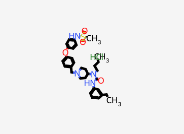 CCCCN(C(=O)Nc1cccc(CC)c1)C1CCN(Cc2ccc(Oc3ccc(NS(C)(=O)=O)cc3)cc2)CC1.Cl